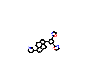 c1cncc(-c2ccc3ccc4c(-c5cc(-c6ncco6)cc(-c6ncco6)c5)ccc5ccc2c3c54)c1